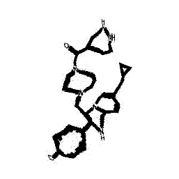 O=C(C1=CCNNC1)N1CCN(CC2=C(c3ccc(Cl)cc3)NC3C=CC(C4CC4)=CN23)CC1